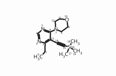 CCc1ncnc(N2CCOCC2)c1C#C[Si](C)(C)C